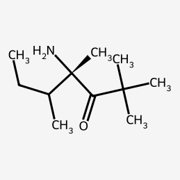 CCC(C)[C@](C)(N)C(=O)C(C)(C)C